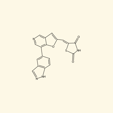 O=C1NC(=O)C(=Cc2cc3cncc(-c4ccc5[nH]ncc5c4)c3o2)S1